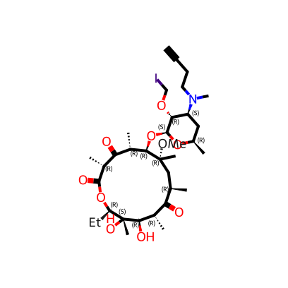 C#CCCN(C)[C@H]1C[C@@H](C)O[C@@H](O[C@@H]2[C@@H](C)C(=O)[C@@H](C)C(=O)O[C@H](CC)[C@@](C)(O)[C@H](O)[C@@H](C)C(=O)[C@H](C)C[C@@]2(C)OC)[C@@H]1OCI